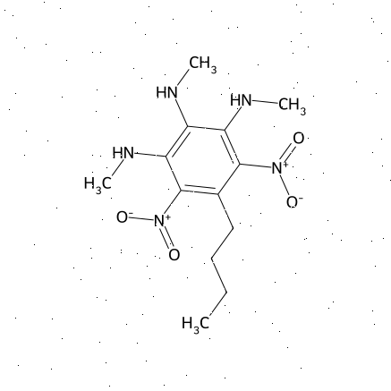 CCCCc1c([N+](=O)[O-])c(NC)c(NC)c(NC)c1[N+](=O)[O-]